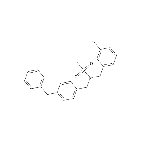 [CH2]c1cccc(CN(Cc2ccc(Cc3ccccc3)cc2)S(C)(=O)=O)c1